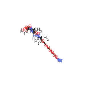 C=CC(C/C=C(\C)OCCCCOCCOCCOCCOCCOCCOCCN=[N+]=[N-])/C(C)=N/NC(=O)COc1ccc2nc3c(c(CC)c2c1)Cn1c-3cc2c(c1=O)COC(=O)[C@]2(O)CC